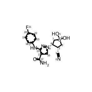 N#C[C@H]1CS(O)(O)C[C@H]1n1cc(C(N)=O)c(Nc2ccc(F)cc2)n1